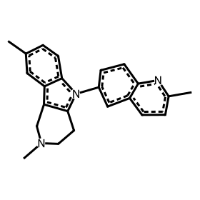 Cc1ccc2c(c1)c1c(n2-c2ccc3nc(C)ccc3c2)CCN(C)C1